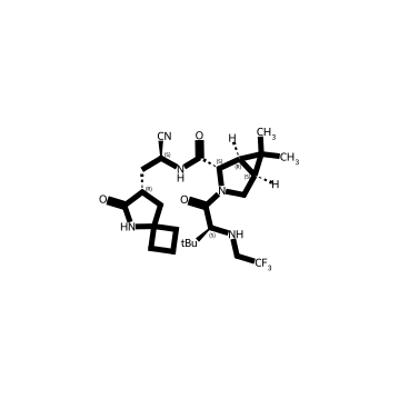 CC(C)(C)[C@H](NCC(F)(F)F)C(=O)N1C[C@H]2[C@@H]([C@H]1C(=O)N[C@H](C#N)C[C@@H]1CC3(CCC3)NC1=O)C2(C)C